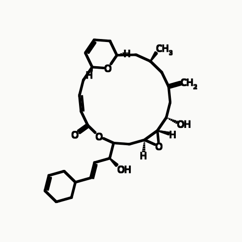 C=C1C[C@H](C)C[C@@H]2CC=C[C@@H](C/C=C\C(=O)OC([C@@H](O)/C=C/C3CC=CCC3)C[C@@H]3O[C@H]3[C@@H](O)C1)O2